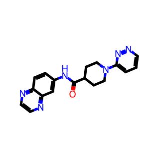 O=C(Nc1ccc2nccnc2c1)C1CCN(c2cccnn2)CC1